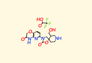 O=C(O)C(F)(F)F.O=C1COc2ccc(N3CC4(CCNCC4CO)OC3=O)nc2N1